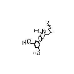 CSSCC(C)CC(N)COc1cc(CO)cc(CO)c1